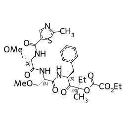 CCOC(=O)C(=O)O[C@](C)(CC)C(=O)[C@H](Cc1ccccc1)NC(=O)[C@H](COC)NC(=O)[C@H](COC)NC(=O)c1cnc(C)s1